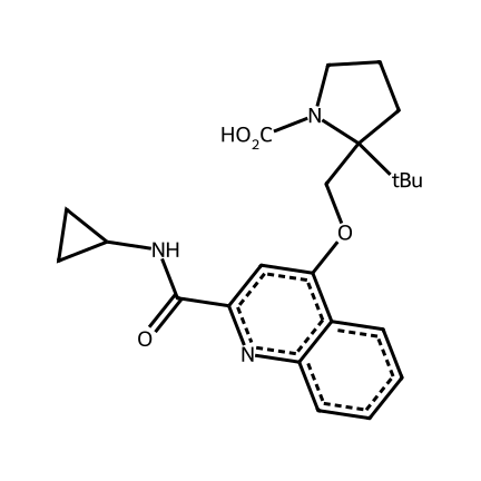 CC(C)(C)C1(COc2cc(C(=O)NC3CC3)nc3ccccc23)CCCN1C(=O)O